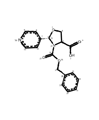 O=C(O)C1CO[C@@H](c2ccncc2)N1C(=O)OCc1ccccc1